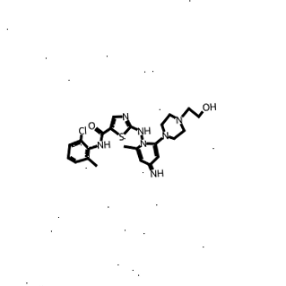 Cc1cccc(Cl)c1NC(=O)c1cnc(Nn2c(C)cc(=N)cc2N2CCN(CCO)CC2)s1